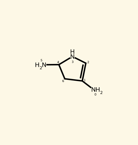 NC1=CNC(N)C1